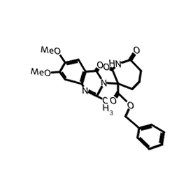 COc1cc2nc(C)n(C3(C(=O)OCc4ccccc4)CCCC(=O)NC3=O)c(=O)c2cc1OC